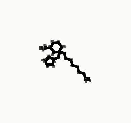 CCCCCCCCC1(Cn2ccnc2)SCCC(C)S1